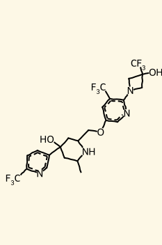 CC1CC(O)(c2ccc(C(F)(F)F)nc2)CC(COc2cnc(N3CC(O)(C(F)(F)F)C3)c(C(F)(F)F)c2)N1